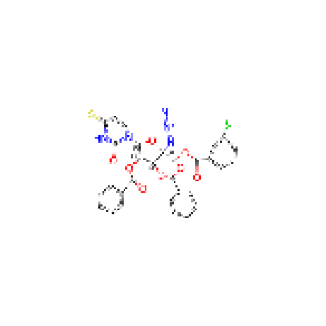 [N-]=[N+]=N[C@]1(COC(=O)c2cccc(Cl)c2)O[C@@H](n2ccc(=S)[nH]c2=O)[C@H](OC(=O)c2ccccc2)[C@@H]1OC(=O)c1ccccc1